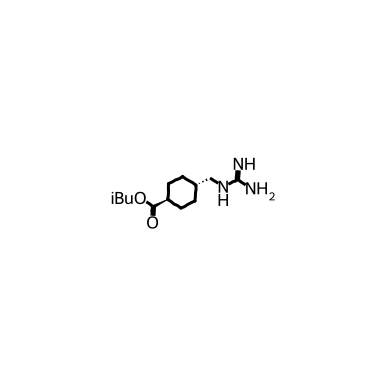 CC(C)COC(=O)[C@H]1CC[C@H](CNC(=N)N)CC1